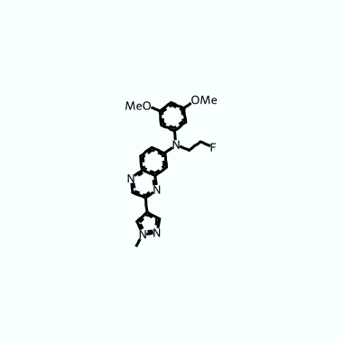 COc1cc(OC)cc(N(CCF)c2ccc3ncc(-c4cnn(C)c4)nc3c2)c1